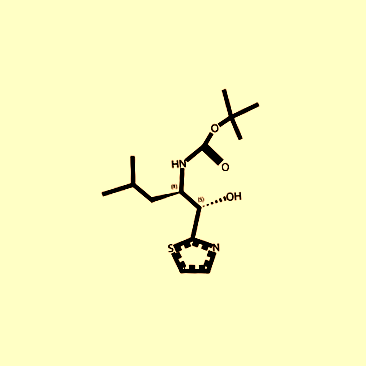 CC(C)C[C@@H](NC(=O)OC(C)(C)C)[C@H](O)c1nccs1